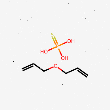 C=CCOCC=C.OP(O)(O)=S